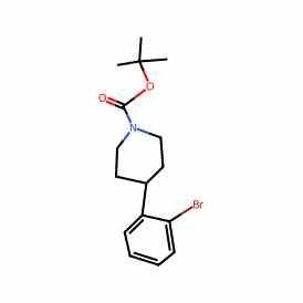 CC(C)(C)OC(=O)N1CCC(c2ccccc2Br)CC1